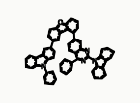 c1ccc(-c2nc(-n3c4ccccc4c4ccccc43)nc3cc(-c4cccc5oc6ccc(-c7ccc8c(c7)c7ccccc7n8-c7ccccc7)cc6c45)ccc23)cc1